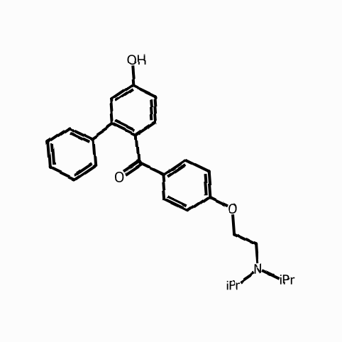 CC(C)N(CCOc1ccc(C(=O)c2ccc(O)cc2-c2ccccc2)cc1)C(C)C